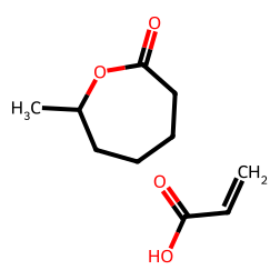 C=CC(=O)O.CC1CCCCC(=O)O1